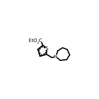 CCOC(=O)c1ccc(CN2CCCCCC2)s1